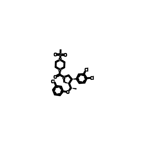 C[C@H](Oc1cccc(Cl)c1)[C@@H]1CN(C(=O)N2CCN(S(C)(=O)=O)CC2)C[C@@H]1c1ccc(Cl)c(Cl)c1